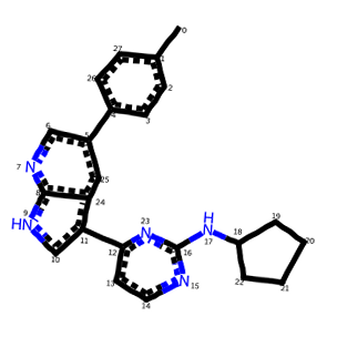 Cc1ccc(-c2cnc3[nH]cc(-c4ccnc(NC5CCCC5)n4)c3c2)cc1